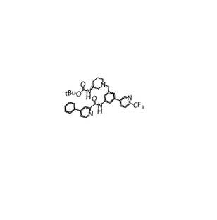 CC(C)(C)OC(=O)N[C@H]1CCCN(Cc2cc(NC(=O)c3cc(-c4ccccc4)ccn3)cc(-c3ccc(C(F)(F)F)nc3)c2)C1